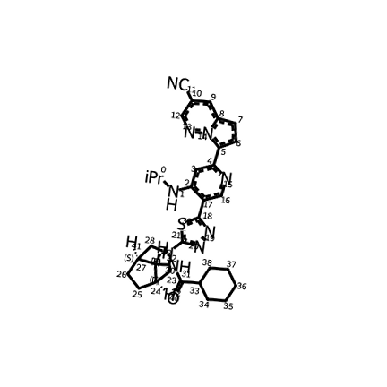 CC(C)Nc1cc(-c2ccc3cc(C#N)cnn23)ncc1-c1nnc(N2C[C@H]3CC[C@@H](C2)[C@@H]3NC(=O)C2CCCCC2)s1